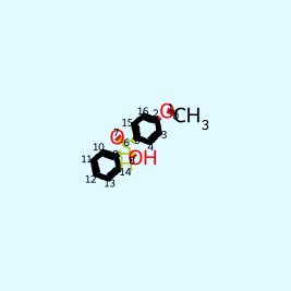 COc1ccc([SH](=O)(O)c2ccccc2)cc1